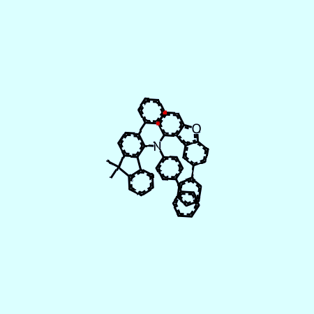 CC1(C)c2ccccc2-c2c1ccc(-c1ccccc1)c2N(c1ccc(-c2ccccc2)cc1)c1cccc2oc3ccc(-c4ccccc4)cc3c12